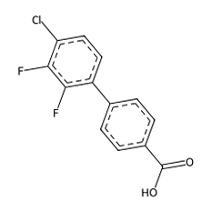 O=C(O)c1ccc(-c2ccc(Cl)c(F)c2F)cc1